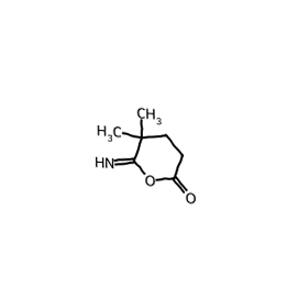 CC1(C)CCC(=O)OC1=N